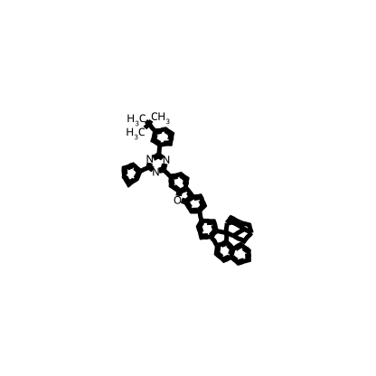 CC(C)(C)c1cccc(-c2nc(-c3ccccc3)nc(-c3ccc4c(c3)oc3cc(-c5ccc6c(c5)C5(c7c-6ccc6ccccc76)C6CC7CC(C6)CC5C7)ccc34)n2)c1